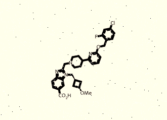 CO[C@H]1C[C@@H](Cn2c(CN3CCC(c4cccc(OCc5ccc(Cl)cc5F)n4)CC3)nc3ccc(C(=O)O)cc32)C1